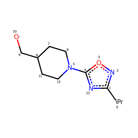 CC(C)c1noc(N2CCC(C[O])CC2)n1